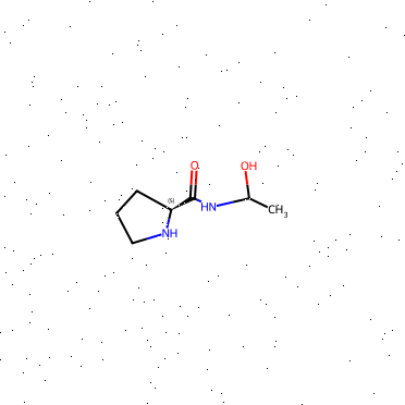 CC(O)NC(=O)[C@@H]1CCCN1